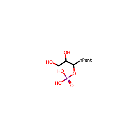 CCCCCC(OP(=O)(O)O)C(O)CO